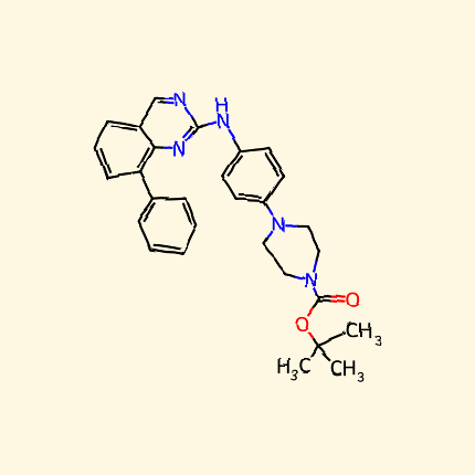 CC(C)(C)OC(=O)N1CCN(c2ccc(Nc3ncc4cccc(-c5ccccc5)c4n3)cc2)CC1